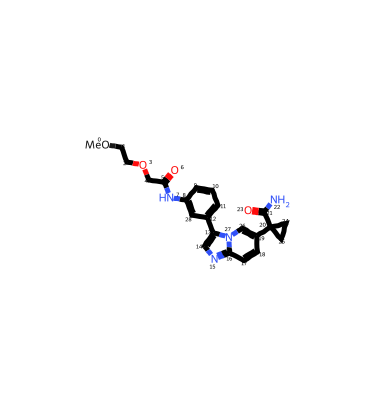 COCCOCC(=O)Nc1cccc(-c2cnc3ccc(C4(C(N)=O)CC4)cn23)c1